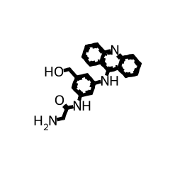 NCC(=O)Nc1cc(CO)cc(Nc2c3ccccc3nc3ccccc23)c1